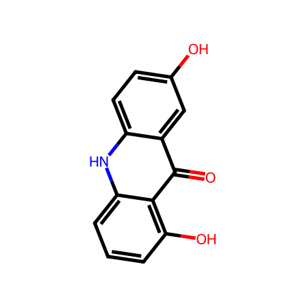 O=c1c2cc(O)ccc2[nH]c2cccc(O)c12